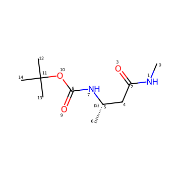 CNC(=O)C[C@H](C)NC(=O)OC(C)(C)C